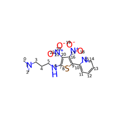 CN(C)CCCNc1sc(-c2ccccn2)c([N+](=O)[O-])c1[N+](=O)[O-]